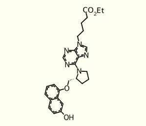 CCOC(=O)CCCCn1cnc2c(N3CCC[C@@H]3COc3cccc4ccc(O)cc34)ncnc21